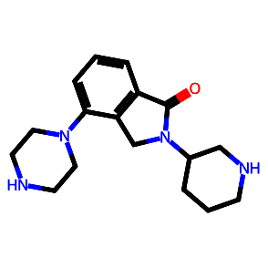 O=C1c2cccc(N3CCNCC3)c2CN1C1CCCNC1